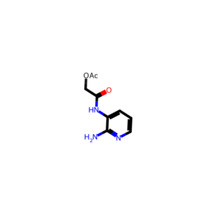 CC(=O)OCC(=O)Nc1cccnc1N